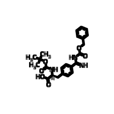 CC(C)(C)OC(=O)N[C@@H](Cc1ccc(C(=N)NC(=O)OCc2ccccc2)cc1)C(=O)O